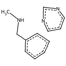 CNCc1ccccc1.c1cncnc1